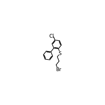 Clc1ccc(SCCCBr)c(-c2ccccc2)c1